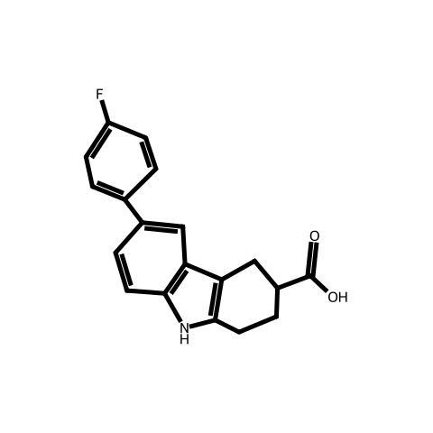 O=C(O)C1CCc2[nH]c3ccc(-c4ccc(F)cc4)cc3c2C1